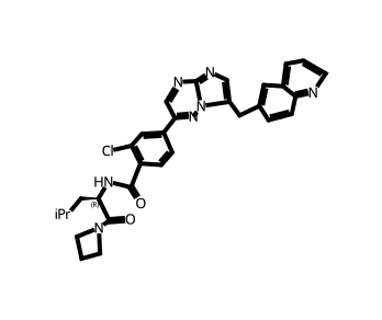 CC(C)C[C@@H](NC(=O)c1ccc(-c2cnc3ncc(Cc4ccc5ncccc5c4)n3n2)cc1Cl)C(=O)N1CCC1